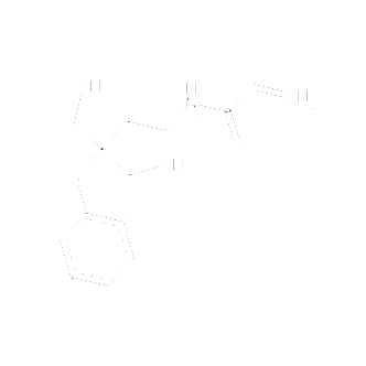 C=CC(=O)NCCC(CC)(CC)Sc1ccccc1